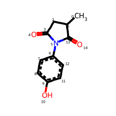 CC1CC(=O)N(c2ccc(O)cc2)C1=O